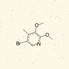 COc1ncc(Br)c(C)c1OC